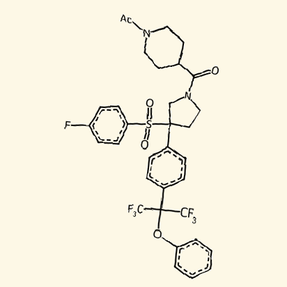 CC(=O)N1CCC(C(=O)N2CCC(c3ccc(C(Oc4ccccc4)(C(F)(F)F)C(F)(F)F)cc3)(S(=O)(=O)c3ccc(F)cc3)C2)CC1